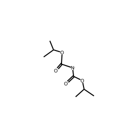 CC(C)OC(=O)[N]C(=O)OC(C)C